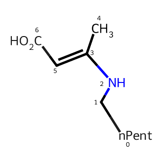 CCCCCCNC(C)=CC(=O)O